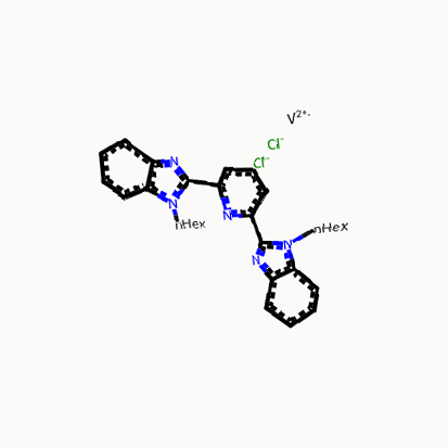 CCCCCCn1c(-c2cccc(-c3nc4ccccc4n3CCCCCC)n2)nc2ccccc21.[Cl-].[Cl-].[V+2]